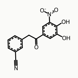 N#Cc1cccc(CC(=O)c2cc(O)c(O)c([N+](=O)[O-])c2)c1